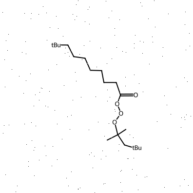 CC(C)(C)CCCCCCCC(=O)OOOC(C)(C)CC(C)(C)C